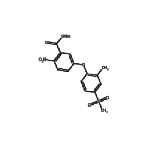 COC(=O)c1cc(Oc2ccc(S(C)(=O)=O)cc2C)ccc1[N+](=O)[O-]